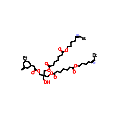 C=C1CC(CC)CC(CC(=O)OCC(CO)(COC(=O)CCCCCC(=O)OCCCC/C=C\CC)COC(=O)CCCCCC(=O)OCCCC/C=C\CC)C1